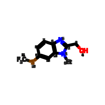 CCn1c(CO)nc2ccc(SC(F)(F)F)cc21